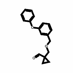 O=CC1(COCc2cccc(Oc3ccccc3)c2)CC1